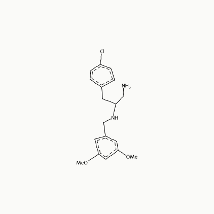 COc1cc(CNC(CN)Cc2ccc(Cl)cc2)cc(OC)c1